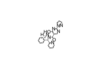 NN(C(=O)c1cnc(-n2cccn2)nc1O)C(c1ccccc1)c1ccccn1